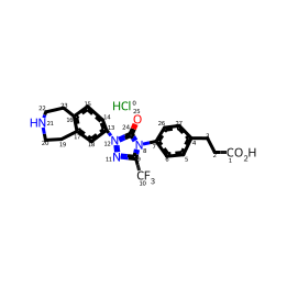 Cl.O=C(O)CCc1ccc(-n2c(C(F)(F)F)nn(-c3ccc4c(c3)CCNCC4)c2=O)cc1